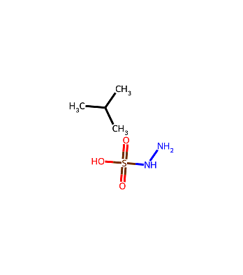 CC(C)C.NNS(=O)(=O)O